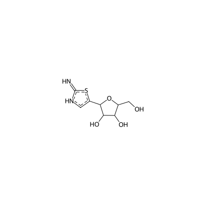 N=c1[nH]cc(C2OC(CO)C(O)C2O)s1